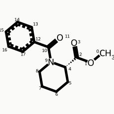 COC(=O)[C@@H]1CCCCN1C(=O)c1ccccc1